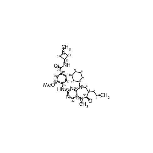 C=CCC1CN(C2CCCCC2)c2nc(Nc3ccc(C(=O)NC4CN(C)C4)cc3OC)ncc2N(C)C1=O